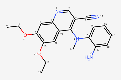 CCOc1cc2ncc(C#N)c(N(C)c3ccccc3N)c2cc1OCC